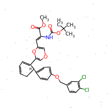 COC(=O)C(=CC1=COC=C(C2=CC=CC[C@@H]2c2ccc(OCc3ccc(Cl)c(Cl)c3)cc2)O1)NC(=O)OC(C)(C)C